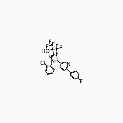 OC(C1=NN(c2ccccc2Cl)C(c2ccc(-c3ccc(F)cc3)nc2)C1)(C(F)(F)F)C(F)(F)F